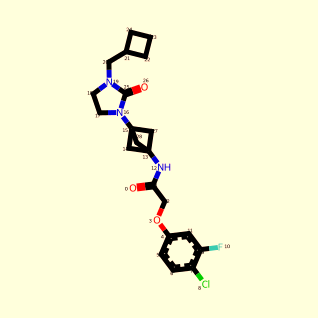 O=C(COc1ccc(Cl)c(F)c1)NC12CC(N3CCN(CC4CCC4)C3=O)(C1)C2